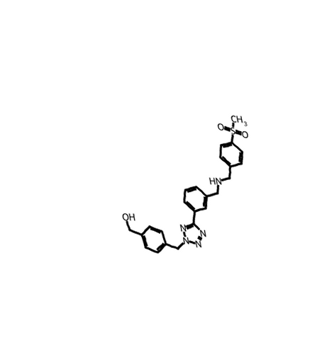 CS(=O)(=O)c1ccc(CNCc2cccc(-c3nnn(Cc4ccc(CO)cc4)n3)c2)cc1